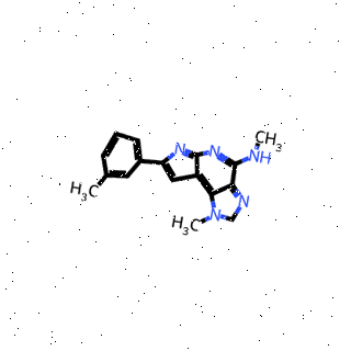 CNc1nc2c(c3c1=NCN3C)C=C(c1cccc(C)c1)N=2